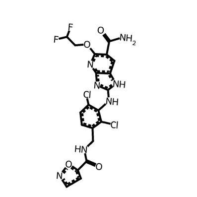 NC(=O)c1cc2[nH]c(Nc3c(Cl)ccc(CNC(=O)c4ccno4)c3Cl)nc2nc1OCC(F)F